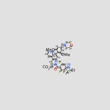 CCC(Nc1cc(F)c(C(=O)NC(Cc2ccc(-c3c(OC)cc(CN4CCOCC4)cc3OC)c3ncccc23)C(=O)O)c(F)c1)C(F)(F)F